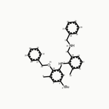 Cc1cc(C(C)(C)C)cc(Pc2c(C)cccc2CNCc2ccccc2)c1OCc1ccccc1